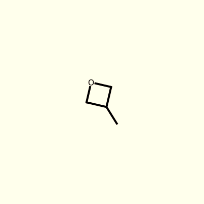 CC1COC1